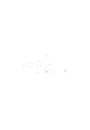 Cc1c(-c2ccc(F)cc2)ccc2c1C(O)=C(C(=O)NCC(=O)O)C(=O)C2C